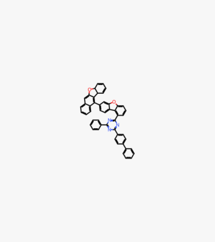 C1=CC2Oc3cc4ccccc4c(-c4ccc5c(c4)oc4cccc(-c6nc(-c7ccccc7)nc(-c7ccc(-c8ccccc8)cc7)n6)c45)c3C2C=C1